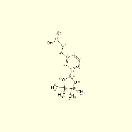 CCC(CC)OCc1cccc(B2OC(C)(C)C(C)(C)O2)c1